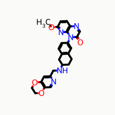 COc1ccc2ncc(=O)n(-c3ccc4c(c3)CCC(NCc3cc5c(cn3)OCCO5)C4)c2n1